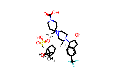 CC1(C)C2CC[C@]1(CS(=O)(=O)O)C(=O)C2.C[C@H]1CN(C2(C)CCN(C(=O)O)CC2)CCN1[C@@H]1c2ccc(C(F)(F)F)cc2C[C@H]1O